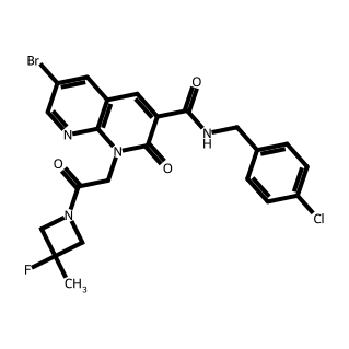 CC1(F)CN(C(=O)Cn2c(=O)c(C(=O)NCc3ccc(Cl)cc3)cc3cc(Br)cnc32)C1